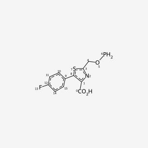 O=C(O)c1nc(COP)sc1-c1ccc(F)cc1